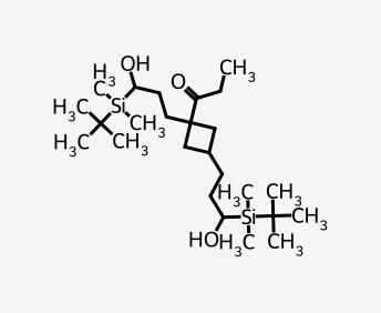 CCC(=O)C1(CCC(O)[Si](C)(C)C(C)(C)C)CC(CCC(O)[Si](C)(C)C(C)(C)C)C1